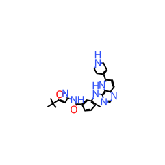 Cc1ccc(C(=O)Nc2cc(C(C)(C)C)on2)cc1Nc1ncnc2ccc(C3=CCNCC3)nc12